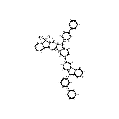 CC1(C)c2ccccc2-c2cc3c4cc(-c5ccc6c(c5)-c5ccccc5[C@H]6c5cccc(-c6ccccc6)c5)ccc4n(-c4ccc(-c5ccccc5)cc4)c3cc21